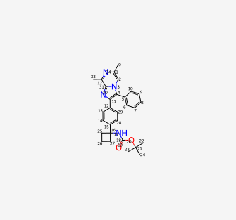 Cc1cn2c(-c3ccccc3)c(-c3ccc(C4(NC(=O)OC(C)(C)C)CCC4)cc3)nc2c(C)n1